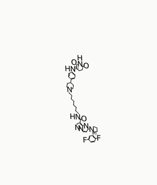 O=C1CC[C@H](Nc2ccc(C3CCN(CCCCCCCCNC(=O)c4cnn5ccc(N6CCC[C@@H]6c6cc(F)ccc6F)nc45)CC3)cc2)C(=O)N1